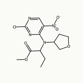 CCC(C(=O)OC)N(c1nc(Cl)ncc1[N+](=O)[O-])C1CCOC1